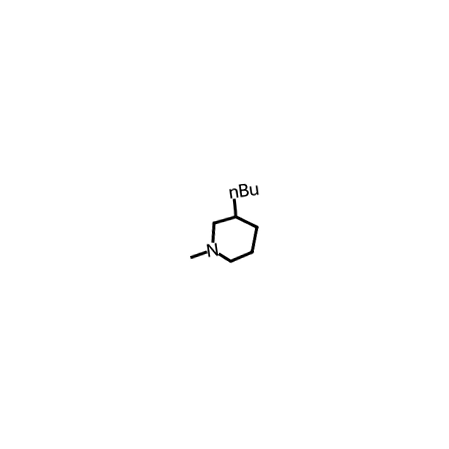 CCCCC1CCCN(C)C1